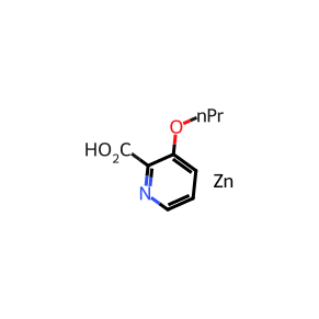 CCCOc1cccnc1C(=O)O.[Zn]